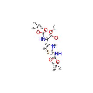 CCOC(=O)C(NC(=O)OC(C)(C)C)c1csc(NC(=O)OC(C)(C)C)n1